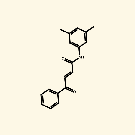 Cc1cc(C)cc(NC(=O)C=CC(=O)c2ccccc2)c1